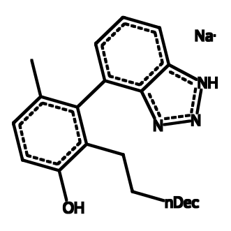 CCCCCCCCCCCCc1c(O)ccc(C)c1-c1cccc2[nH]nnc12.[Na]